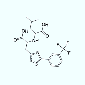 CC(C)CC(NC(Cc1csc(-c2cccc(C(F)(F)F)c2)n1)C(=O)O)C(=O)O